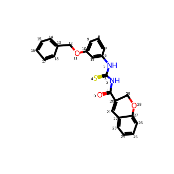 O=C(NC(=S)Nc1cccc(OCc2ccccc2)c1)C1=Cc2ccccc2OC1